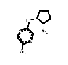 Cc1cnc(N[C@H]2CCC[C@@H]2N)cn1